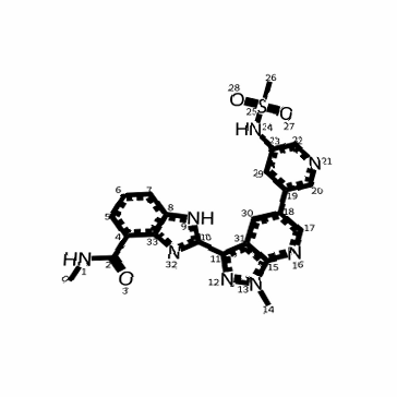 CNC(=O)c1cccc2[nH]c(-c3nn(C)c4ncc(-c5cncc(NS(C)(=O)=O)c5)cc34)nc12